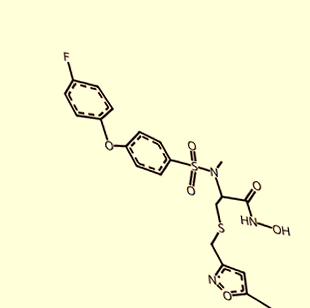 Cc1cc(CSCC(C(=O)NO)N(C)S(=O)(=O)c2ccc(Oc3ccc(F)cc3)cc2)no1